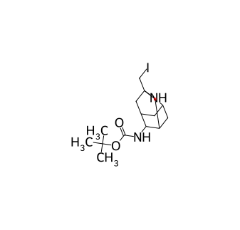 CC(C)(C)OC(=O)NC1C2CC3CC1CC(CI)(C2)N3